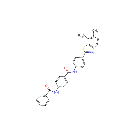 Cc1ccc2nc(-c3ccc(NC(=O)c4ccc(NC(=O)c5ccccc5)cc4)cc3)sc2c1S(=O)(=O)O